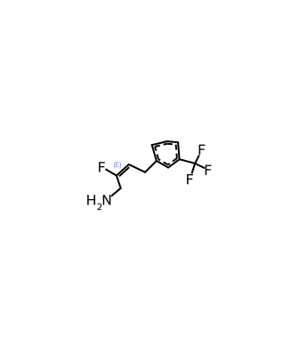 NC/C(F)=C\Cc1cccc(C(F)(F)F)c1